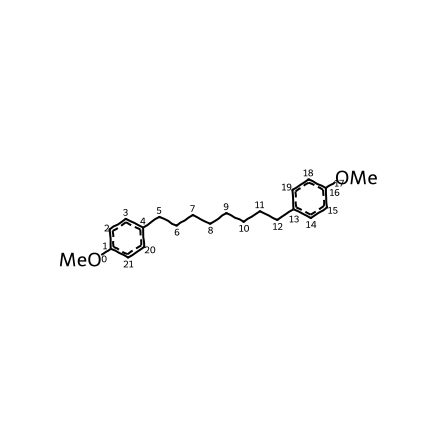 COc1ccc(CCCCCCCCc2ccc(OC)cc2)cc1